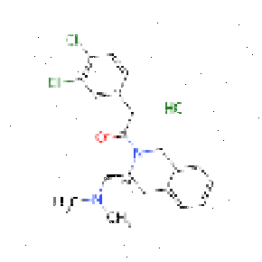 CN(C)C[C@@H]1Cc2ccccc2CN1C(=O)Cc1ccc(Cl)c(Cl)c1.Cl